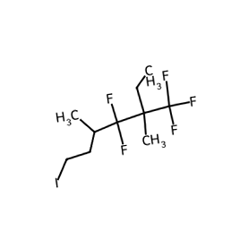 CCC(C)(C(F)(F)F)C(F)(F)C(C)CCI